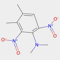 Cc1cc([N+](=O)[O-])c(N(C)C)c([N+](=O)[O-])c1C